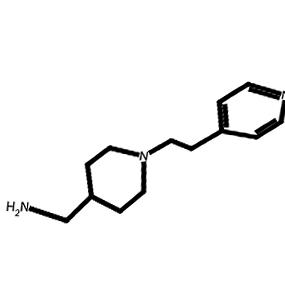 NCC1CCN(CCc2ccncc2)CC1